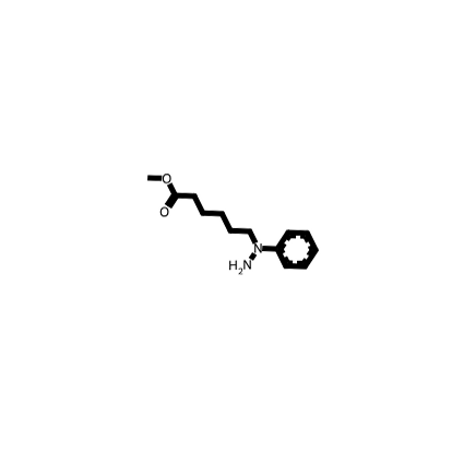 COC(=O)CCCCCN(N)c1ccccc1